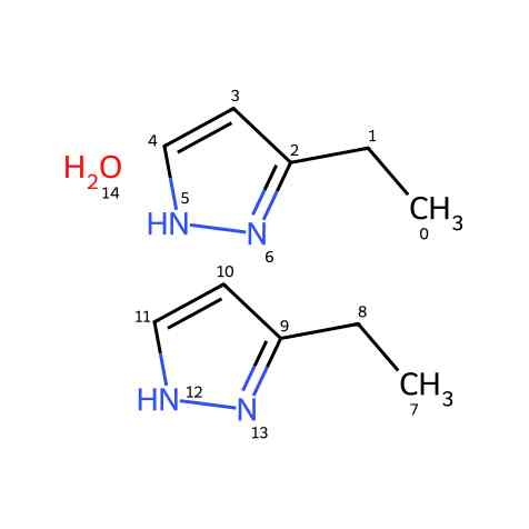 CCc1cc[nH]n1.CCc1cc[nH]n1.O